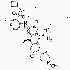 Cc1cc(Nc2ncc(Cl)c(Nc3ccccc3S(=O)(=O)NC3CCC3)n2)c(OC(C)C)cc1C1CCN(C)CC1